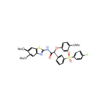 COc1ccc(OC(C(=O)Nc2nc3cc(OC)c(OC)cc3s2)c2cccc(S(=O)(=O)c3ccc(F)cc3)c2)cc1